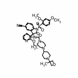 CCOc1ncccc1[C@]1(NC(=O)N2CCN(C3CCN(C4(C)COC4)CC3)CC2)C(=O)N(S(=O)(=O)c2ccc(OC)cc2OC)c2ccc(C#N)cc21